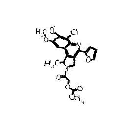 COc1cc2c3c(c(-c4ccco4)nc2c(Cl)c1Cl)CN(C(=O)COC(C)=O)[C@H]3C